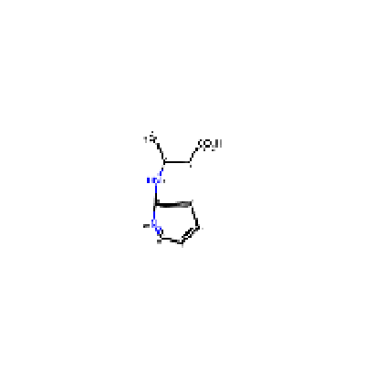 CCCC(CC(=O)O)Nc1ccccn1